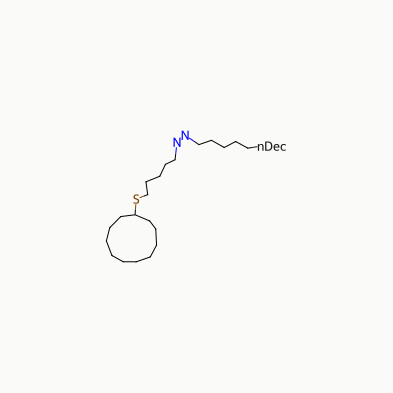 CCCCCCCCCCCCCCC/N=N\CCCCCSC1CCCCCCCCCC1